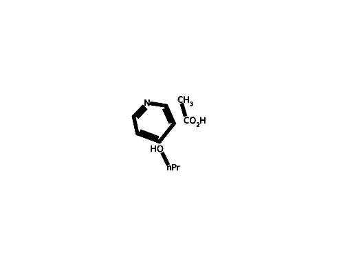 CC(=O)O.CCCO.c1ccncc1